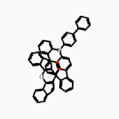 c1ccc(-c2ccc(N(c3ccc4c(c3)C3(c5ccccc5-4)c4ccc5ccccc5c4Oc4c3ccc3ccccc43)c3ccccc3-c3ccccc3)cc2)cc1